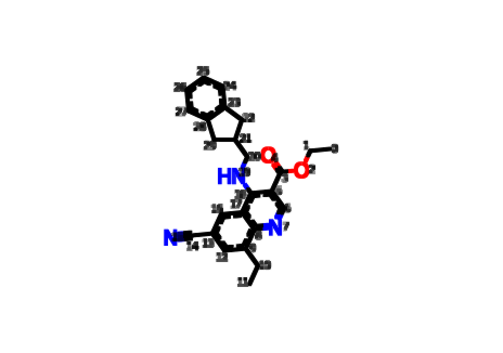 CCOC(=O)c1cnc2c(CC)cc(C#N)cc2c1NCC1Cc2ccccc2C1